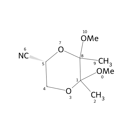 COC1(C)OC[C@H](C#N)OC1(C)OC